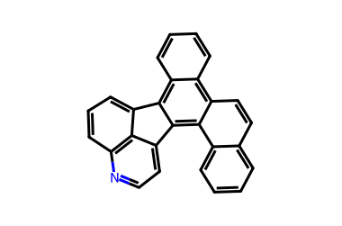 c1ccc2c(c1)ccc1c3ccccc3c3c(c21)-c1ccnc2cccc-3c12